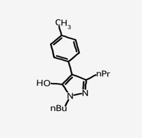 CCCCn1nc(CCC)c(-c2ccc(C)cc2)c1O